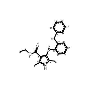 CCOC(=O)c1c(C)[nH]c(C)c1Sc1ccccc1Cc1ccccc1